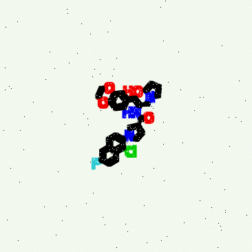 O=C(N[C@H](CN1CCCC1)[C@H](O)c1ccc2c(c1)OCCO2)[C@@H]1CCN(c2ccc3cc(F)ccc3c2Cl)C1